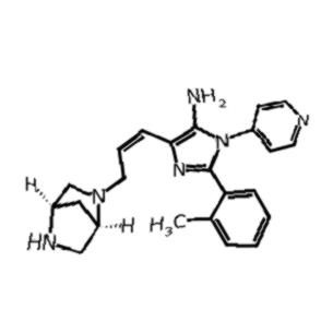 Cc1ccccc1-c1nc(/C=C\CN2C[C@H]3C[C@@H]2CN3)c(N)n1-c1ccncc1